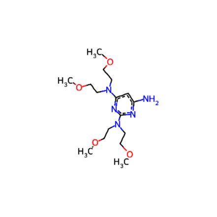 COCCN(CCOC)c1cc(N)nc(N(CCOC)CCOC)n1